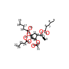 C#C[C@H](OC(=O)CCCC)C1C[C@@H](OC(=O)CCCC)[C@@H](OC(=O)CCCC)[C@@H]1OC(C)=O